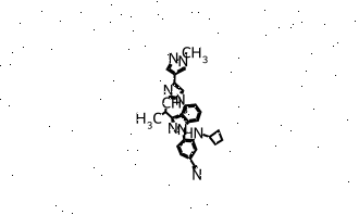 CC(C)c1nn(-c2ccc(C#N)cc2NC2CCC2)c2cccc(-n3cnc(-c4cnn(C)c4)c3)c12